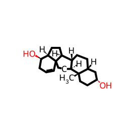 C[C@]12CC[C@@H](O)C[C@H]1CC[C@H]1[C@@H]3CC[C@@H]4[C@H](O)CC=CC43CC[C@@H]12